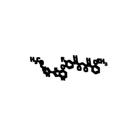 COCn1cnc(-c2cc3nccc(Oc4ccc(NC(=O)CC(=O)Nc5ccccc5OC)cc4F)c3s2)c1